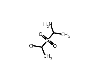 CC(N)S(=O)(=O)C(C)Cl